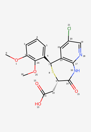 COc1cccc([C@@H]2S[C@@H](CC(=O)O)C(=O)Nc3ncc(Cl)cc32)c1OC